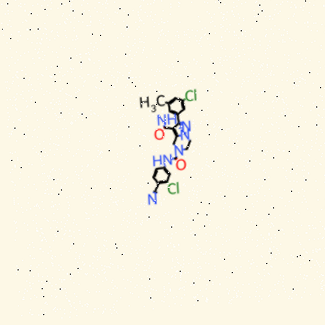 Cc1cc(Cl)cc(-c2nn3c(c2C(N)=O)CN(C(=O)Nc2ccc(C#N)c(Cl)c2)CC3)c1